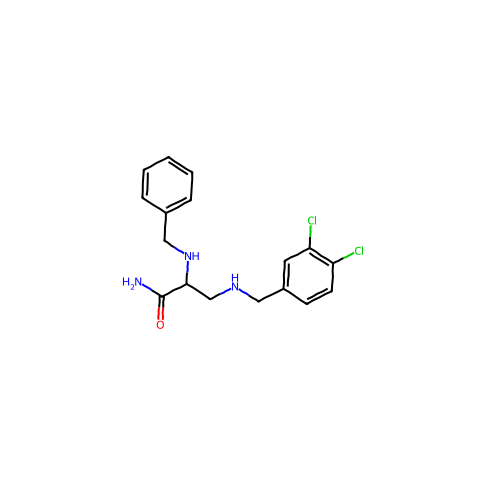 NC(=O)C(CNCc1ccc(Cl)c(Cl)c1)NCc1ccccc1